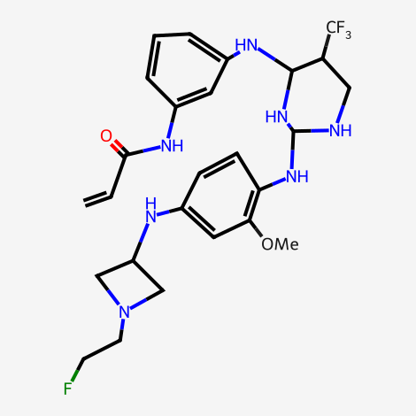 C=CC(=O)Nc1cccc(NC2NC(Nc3ccc(NC4CN(CCF)C4)cc3OC)NCC2C(F)(F)F)c1